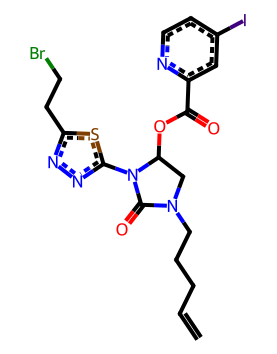 C=CCCCN1CC(OC(=O)c2cc(I)ccn2)N(c2nnc(CCBr)s2)C1=O